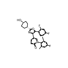 Cc1cc(F)cc(C)c1-n1cc(-c2nc([C@H]3CC[C@H](O)CC3)oc2-c2ccc(F)cc2F)ccc1=O